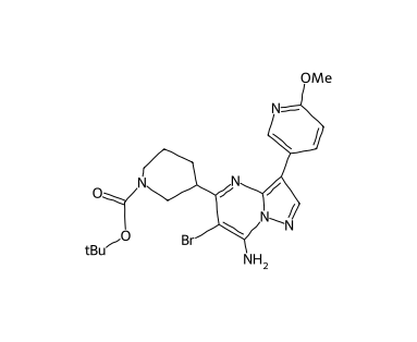 COc1ccc(-c2cnn3c(N)c(Br)c(C4CCCN(C(=O)OC(C)(C)C)C4)nc23)cn1